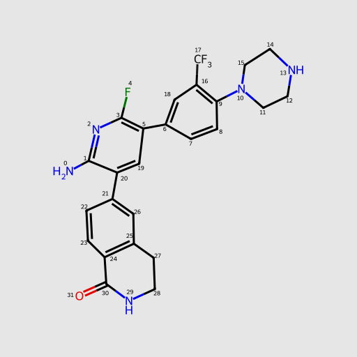 Nc1nc(F)c(-c2ccc(N3CCNCC3)c(C(F)(F)F)c2)cc1-c1ccc2c(c1)CCNC2=O